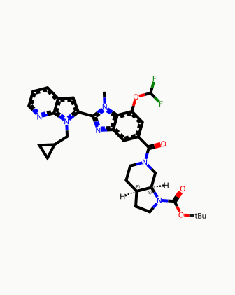 Cn1c(-c2cc3cccnc3n2CC2CC2)nc2cc(C(=O)N3CC[C@@H]4CCN(C(=O)OC(C)(C)C)[C@@H]4C3)cc(OC(F)F)c21